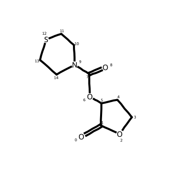 O=C1OCCC1OC(=O)N1CCSCC1